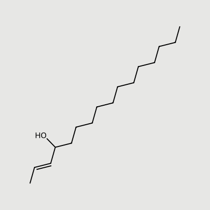 CC=CC(O)CCCCCCCCCCCC